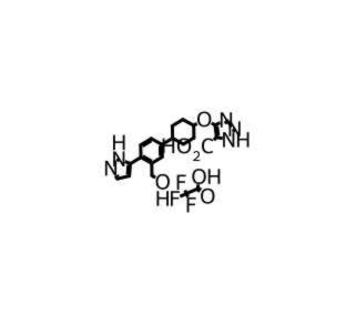 O=C(O)C(F)(F)F.O=C(O)c1[nH]nnc1OC1CCC(c2ccc(-c3ccn[nH]3)c(CO)c2)CC1